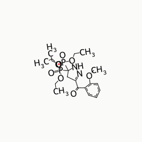 CCOP(=O)(OCC)C1(P(=O)(OCC)OCC)CC(C(=O)c2ccccc2OC)=NN1